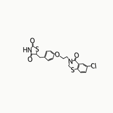 O=C1NC(=O)C(Cc2ccc(OCCN3CSc4ccc(Cl)cc4C3=O)cc2)S1